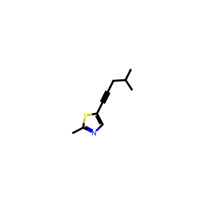 Cc1ncc(C#CCC(C)C)s1